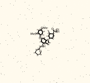 CCNC(=O)c1ccc(-n2cnc3c(NCC4CCCCO4)cc(Oc4ccc(OC)cc4SC)cc32)cc1C